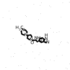 CN1CCCN(C2CCN(C(=O)C(N)Cc3ccc4[nH]ncc4c3)CC2)CC1